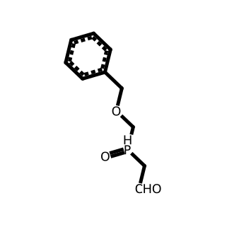 O=CC[PH](=O)COCc1ccccc1